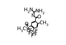 Cc1cc(S(F)(F)(F)(F)F)c(S(C)(=O)=O)cc1C(=O)N=C(N)N